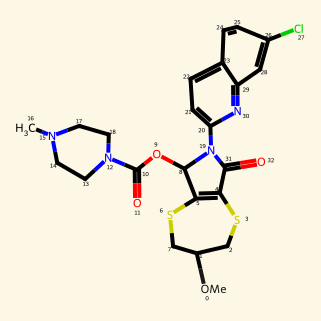 COC1CSC2=C(SC1)C(OC(=O)N1CCN(C)CC1)N(c1ccc3ccc(Cl)cc3n1)C2=O